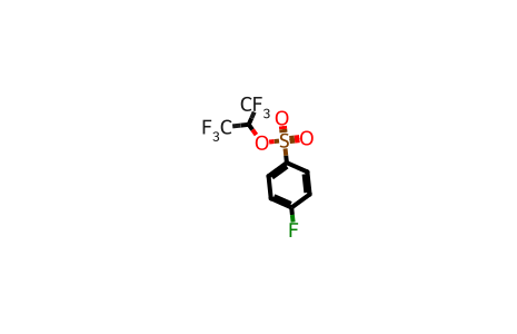 O=S(=O)(OC(C(F)(F)F)C(F)(F)F)c1ccc(F)cc1